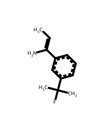 C/C=C(\N)c1cccc(C(C)(C)F)c1